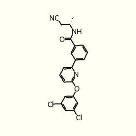 C[C@@H](CC#N)NC(=O)c1cccc(-c2cccc(Oc3cc(Cl)cc(Cl)c3)n2)c1